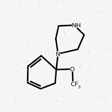 FC(F)(F)OC1(N2CCNCC2)C=CC=CC1